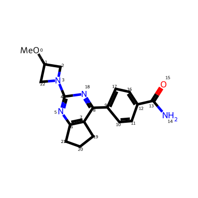 COC1CN(c2nc3c(c(-c4ccc(C(N)=O)cc4)n2)CCC3)C1